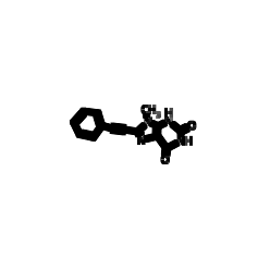 Cn1c(C#Cc2ccccc2)nc2c(=O)[nH]c(=O)[nH]c21